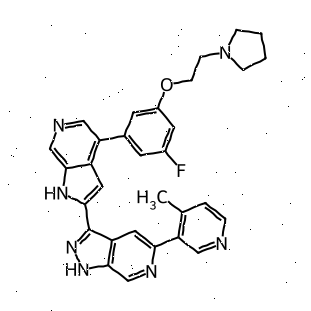 Cc1ccncc1-c1cc2c(-c3cc4c(-c5cc(F)cc(OCCN6CCCC6)c5)cncc4[nH]3)n[nH]c2cn1